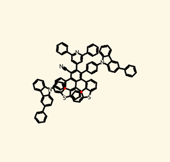 N#Cc1c(-c2cc(-c3ccccc3)nc(-c3ccccc3)c2)c(-c2ccc(-n3c4ccccc4c4cc(-c5ccccc5)ccc43)cc2)c(-c2cccc3sc4ccccc4c23)c(-c2cccc3sc4ccccc4c23)c1-c1ccc(-n2c3ccccc3c3cc(-c4ccccc4)ccc32)cc1